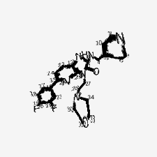 O=c1c(NCc2ccncc2)nc2ccc(-c3ccc(F)c(F)c3)nc2n1CCN1CCOCC1